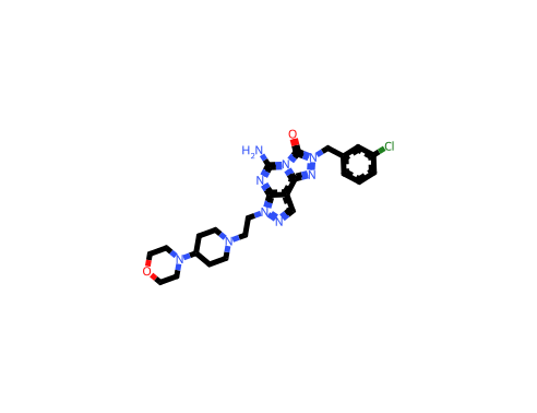 Nc1nc2c(cnn2CCN2CCC(N3CCOCC3)CC2)c2nn(Cc3cccc(Cl)c3)c(=O)n12